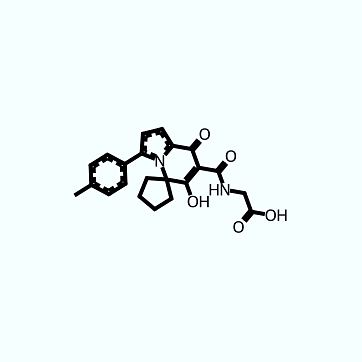 Cc1ccc(-c2ccc3n2C2(CCCC2)C(O)=C(C(=O)NCC(=O)O)C3=O)cc1